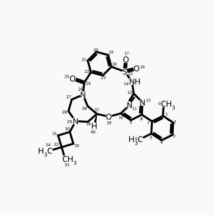 Cc1cccc(C)c1-c1cc2nc(n1)NS(=O)(=O)c1cccc(c1)C(=O)N1CCN(C3CC(C)(C)C3)C[C@H](C1)O2